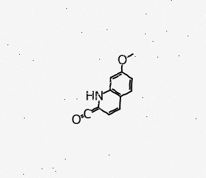 COc1ccc2c(c1)NC(=C=O)C=C2